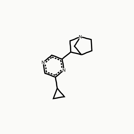 c1ncc(C2CN3CCC2C3)nc1C1CC1